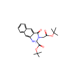 CC(C)(C)OC(=O)CN(CC(=O)OC(C)(C)C)C(=O)c1cc2ccccc2cc1N